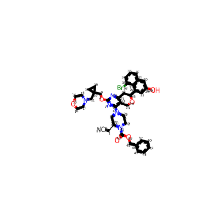 N#CC[C@H]1CN(c2nc(OCC3(CN4CCOCC4)CC3)nc3c2COC(c2cc(O)cc4cccc(Br)c24)C3)CCN1C(=O)OCc1ccccc1